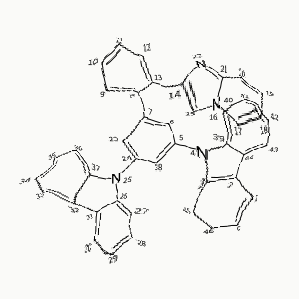 C1=Cc2c(n(-c3cc(-c4ccccc4-c4cn5ccccc5n4)cc(-n4c5ccccc5c5ccccc54)c3)c3ccccc23)CC1